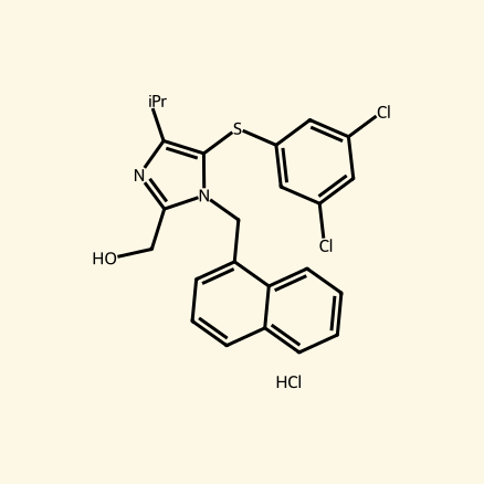 CC(C)c1nc(CO)n(Cc2cccc3ccccc23)c1Sc1cc(Cl)cc(Cl)c1.Cl